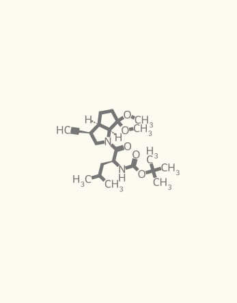 C#C[C@@H]1CN(C(=O)[C@H](CC(C)C)NC(=O)OC(C)(C)C)[C@H]2[C@@H]1CCC2(OC)OC